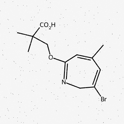 CC1=CC(OCC(C)(C)C(=O)O)=NCC(Br)=C1